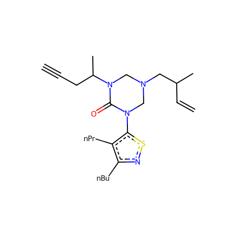 C#CCC(C)N1CN(CC(C)C=C)CN(c2snc(CCCC)c2CCC)C1=O